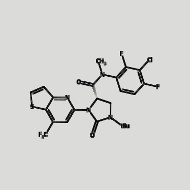 CN(C(=O)[C@@H]1CN(C(C)(C)C)C(=O)N1c1cc(C(F)(F)F)c2sccc2n1)c1ccc(F)c(Cl)c1F